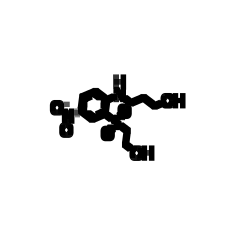 O=[N+]([O-])c1ccc(NCCCO)c(S(=O)(=O)CCO)c1